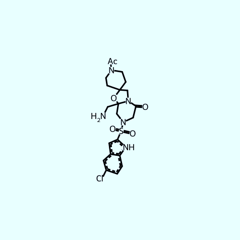 CC(=O)N1CCC2(CC1)CN1C(=O)CN(S(=O)(=O)c3cc4cc(Cl)ccc4[nH]3)CC1(CN)O2